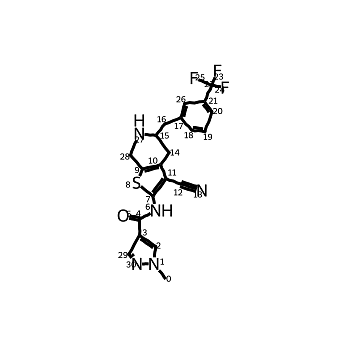 Cn1cc(C(=O)Nc2sc3c(c2C#N)CC(Cc2cccc(C(F)(F)F)c2)NC3)cn1